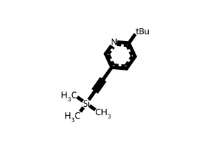 CC(C)(C)c1ccc(C#C[Si](C)(C)C)cn1